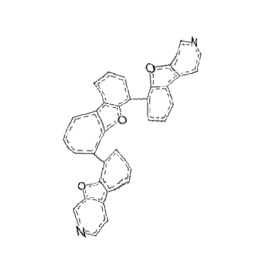 c1cc(-c2cccc3c2oc2c(-c4cccc5c4oc4cnccc45)cccc23)c2oc3cnccc3c2c1